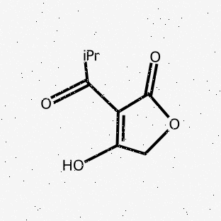 CC(C)C(=O)C1=C(O)COC1=O